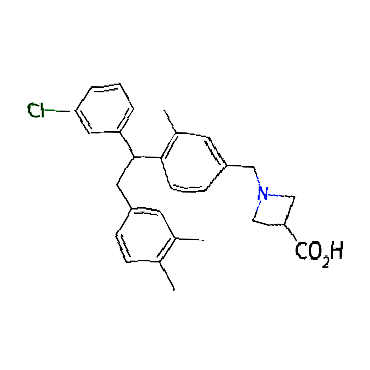 Cc1ccc(CC(c2cccc(Cl)c2)c2ccc(CN3CC(C(=O)O)C3)cc2C)cc1C